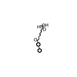 O=C(C=CC=CCCC(=O)c1ccc(-c2ccccc2)cc1)NO